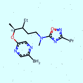 Bc1cnc(O[C@@H](C)C(CC)CCN(C)c2nc(C(C)C)no2)cn1